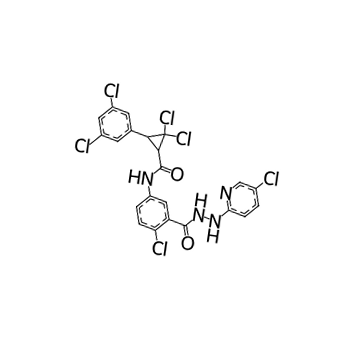 O=C(NNc1ccc(Cl)cn1)c1cc(NC(=O)C2C(c3cc(Cl)cc(Cl)c3)C2(Cl)Cl)ccc1Cl